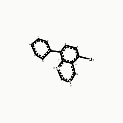 Clc1ccc(-c2ccccc2)c2ncncc12